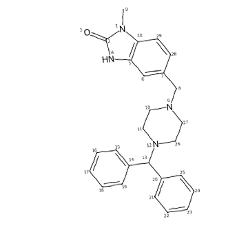 Cn1c(=O)[nH]c2cc(CN3CCN(C(c4ccccc4)c4ccccc4)CC3)ccc21